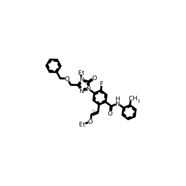 CCO/C=C/c1cc(-n2nc(COCc3ccccc3)n(CC)c2=O)c(F)cc1C(=O)Nc1ccccc1C